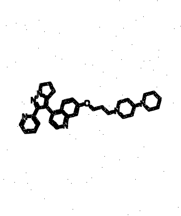 c1ccc(-c2nn3c(c2-c2ccnc4cc(OCCCN5CCC(N6CCCCC6)CC5)ccc24)CCC3)nc1